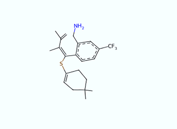 C=C(C)/C(C)=C(/SC1=CCC(C)(C)CC1)c1ccc(C(F)(F)F)cc1CN